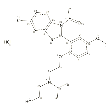 COc1ccc(OCCN(CCO)C(C)C)c(C2Sc3cc(Cl)ccc3N2C(C)=O)c1.Cl